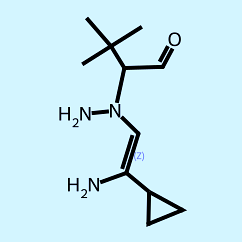 CC(C)(C)C(C=O)N(N)/C=C(\N)C1CC1